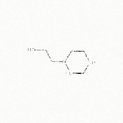 OCCN1CCNC[14CH2]1